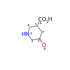 O=C1CNCC(C(=O)O)C1